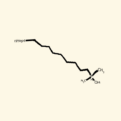 CCCCCCCCCCCCCCCC[PH](C)(C)O